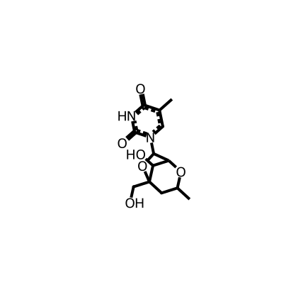 Cc1cn(C2OC3(CO)CC(C)OC2C3O)c(=O)[nH]c1=O